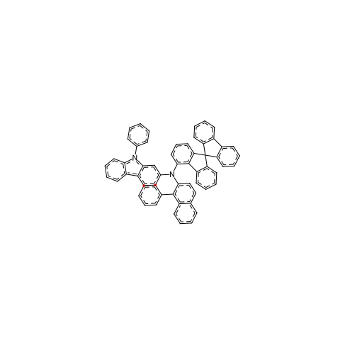 c1ccc(-c2c(N(c3ccc4c5ccccc5n(-c5ccccc5)c4c3)c3cccc4c3-c3ccccc3C43c4ccccc4-c4ccccc43)ccc3ccccc23)cc1